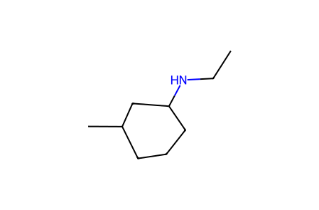 CCNC1CCCC(C)C1